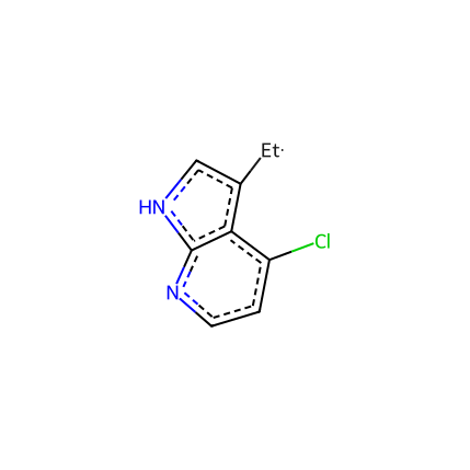 C[CH]c1c[nH]c2nccc(Cl)c12